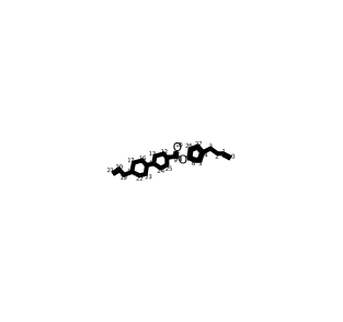 C=CCCc1ccc(OC(=O)C2CCC(C3CCC(CC=C)CC3)CC2)cc1